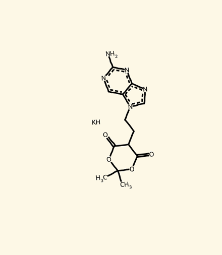 CC1(C)OC(=O)C(CCn2cnc3nc(N)ncc32)C(=O)O1.[KH]